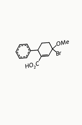 COC1(Br)C=C(C(=O)O)C(c2ccccc2)CC1